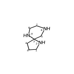 C1CNC2(C1)CNCCN2